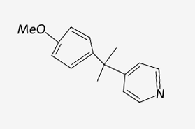 COc1ccc(C(C)(C)c2ccncc2)cc1